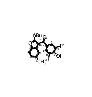 CCCCc1oc2ccc(C)cc2c1C(=O)c1cc(I)c(O)c(I)c1